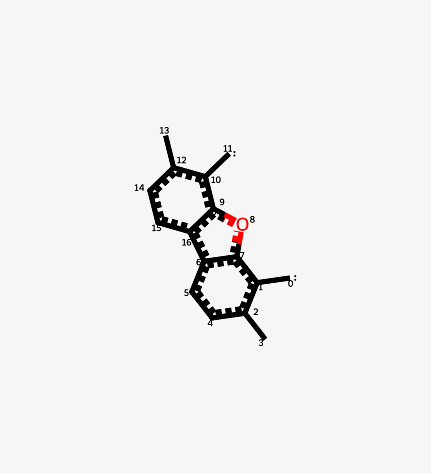 [CH]c1c(C)ccc2c1oc1c([CH])c(C)ccc12